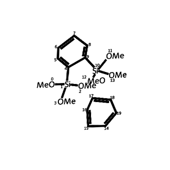 CO[Si](OC)(OC)c1ccccc1[Si](OC)(OC)OC.c1ccccc1